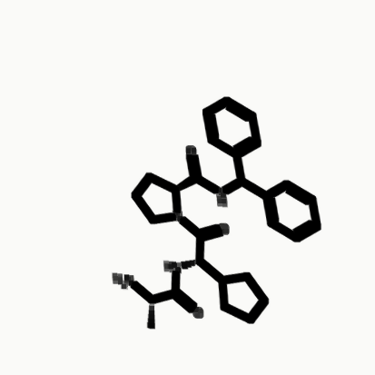 C[C@H](N)C(=O)N[C@H](C(=O)N1CCC[C@H]1C(=O)NC(c1ccccc1)c1ccccc1)C1CCCC1